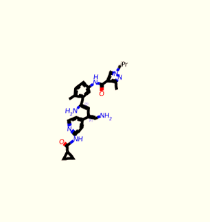 Cc1ccc(NC(=O)c2cn(C(C)C)nc2C)cc1/C(N)=C/C(=C\N)c1ccnc(NC(=O)C2CC2)c1